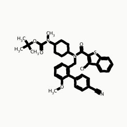 COc1cccc(CN(C(=O)c2sc3ccccc3c2Cl)C2CCC(N(C)C(=O)OC(C)(C)C)CC2)c1-c1ccc(C#N)cc1